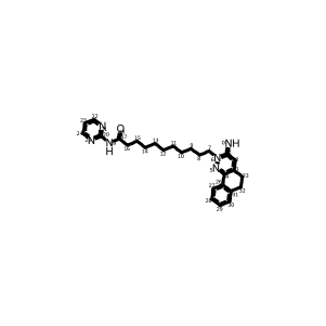 N=c1cc2c(nn1CCCCCCCCCCC(=O)Nc1ncccn1)-c1ccccc1CC2